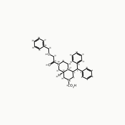 O=C(O)N1CC(C(c2ccccc2)c2ccccc2)N2CCN(C(=O)COCc3ccccc3)C[C@H]2C1